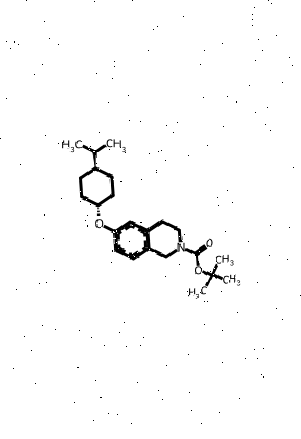 CC(C)[C@H]1CC[C@H](Oc2ccc3c(c2)CCN(C(=O)OC(C)(C)C)C3)CC1